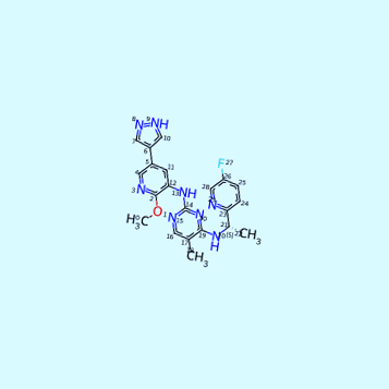 COc1ncc(-c2cn[nH]c2)cc1Nc1ncc(C)c(N[C@@H](C)c2ccc(F)cn2)n1